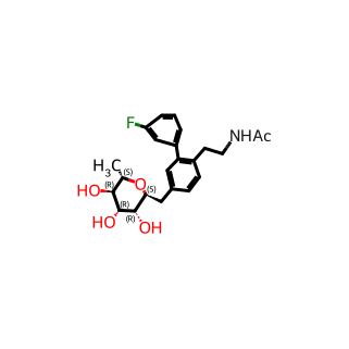 CC(=O)NCCc1ccc(C[C@@H]2O[C@@H](C)[C@H](O)[C@@H](O)[C@H]2O)cc1-c1cccc(F)c1